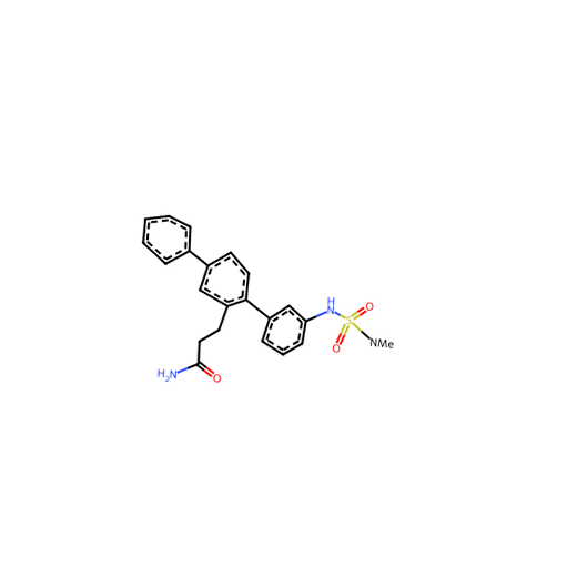 CNS(=O)(=O)Nc1cccc(-c2ccc(-c3ccccc3)cc2CCC(N)=O)c1